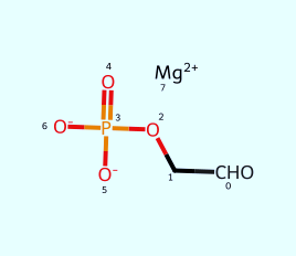 O=CCOP(=O)([O-])[O-].[Mg+2]